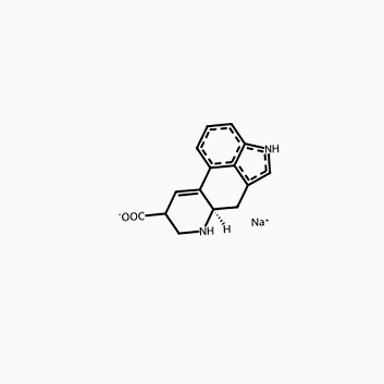 O=C([O-])C1C=C2c3cccc4[nH]cc(c34)C[C@H]2NC1.[Na+]